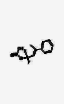 CC(=CC(F)(F)O[PH](=O)O)c1ccccc1